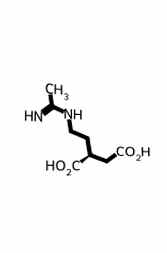 CC(=N)NCC[C@@H](CC(=O)O)C(=O)O